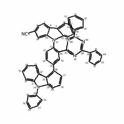 N#Cc1ccc2c3ccccc3n(-c3ccc(-c4cccc5c4c4ccccc4n5-c4ccccc4)cc3-c3nc(-c4ccccc4)nc(-c4ccccc4)n3)c2c1